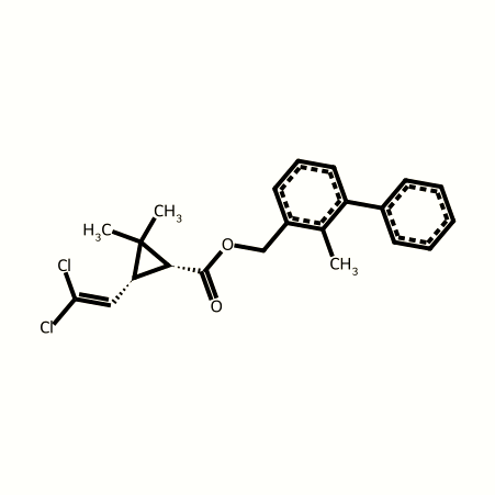 Cc1c(COC(=O)[C@@H]2[C@H](C=C(Cl)Cl)C2(C)C)cccc1-c1ccccc1